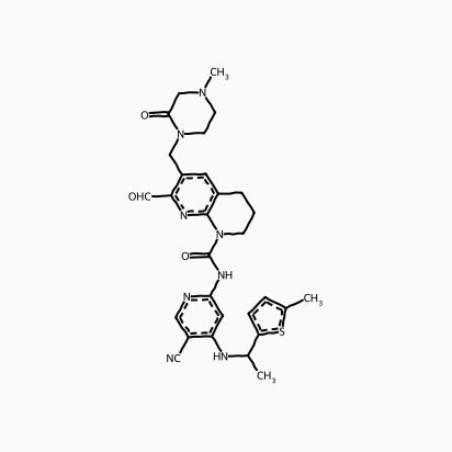 Cc1ccc(C(C)Nc2cc(NC(=O)N3CCCc4cc(CN5CCN(C)CC5=O)c(C=O)nc43)ncc2C#N)s1